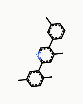 Cc1cccc(-c2cnc(-c3cc(C)ccc3C)cc2C)c1